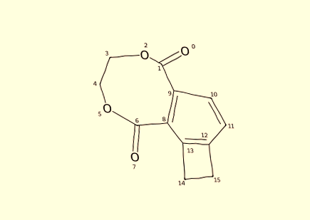 O=C1OCCOC(=O)c2c1ccc1c2CC1